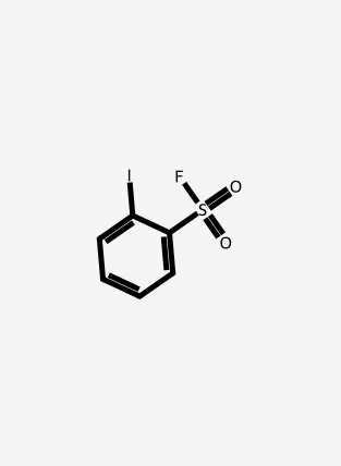 O=S(=O)(F)c1ccccc1I